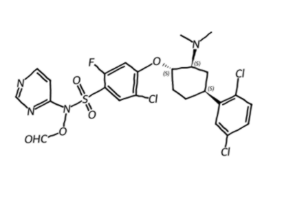 CN(C)[C@H]1C[C@@H](c2cc(Cl)ccc2Cl)CC[C@@H]1Oc1cc(F)c(S(=O)(=O)N(OC=O)c2ccncn2)cc1Cl